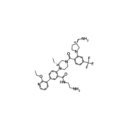 CCOc1ncccc1-c1ccc(N2CCN(C(=O)c3ccc(C(F)(F)F)cc3N3CC[C@@H](CN)C3)C[C@H]2CC)c(C(=O)NCCN)c1